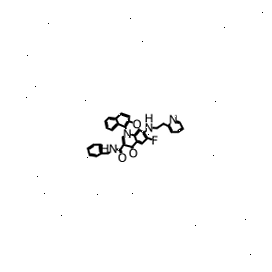 O=C(NCc1ccccc1)c1cn2c3c(c(NCCc4ccccn4)c(F)cc3c1=O)Oc1ccc3ccccc3c1-2